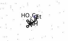 CCOc1ccc(C(=O)CCC(=O)Nc2nc(-c3ccccc3)c(Cc3ccccc3)s2)cc1/C=C/C(=O)O